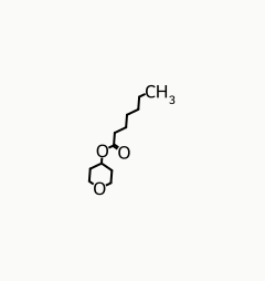 CCCCCCC(=O)OC1CCOCC1